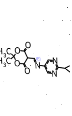 CC1(C)OC(=O)C(/C=N/c2cnc(C3CC3)nc2)C(=O)O1